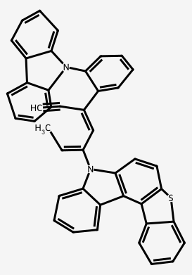 C#C/C(=C\C(=C/C)n1c2ccccc2c2c3c(ccc21)sc1ccccc13)c1ccccc1-n1c2ccccc2c2ccccc21